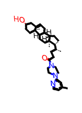 Cc1ccnc(N2CCN(C(=O)CC[C@@H](C)[C@H]3CC[C@H]4[C@@H]5CC=C6C[C@@H](O)CC[C@]6(C)[C@H]5CC[C@]34C)CC2)c1